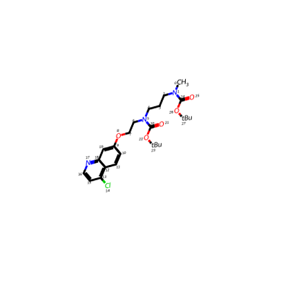 CN(CCCN(CCOc1ccc2c(Cl)ccnc2c1)C(=O)OC(C)(C)C)C(=O)OC(C)(C)C